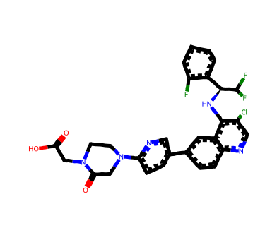 O=C(O)CN1CCN(c2ccc(-c3ccc4ncc(Cl)c(N[C@@H](c5ccccc5F)C(F)F)c4c3)cn2)CC1=O